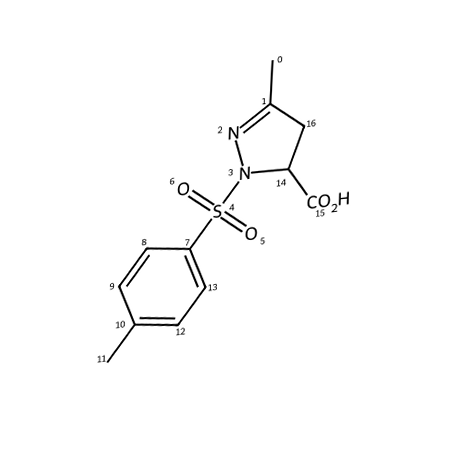 CC1=NN(S(=O)(=O)c2ccc(C)cc2)C(C(=O)O)C1